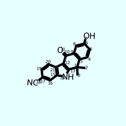 CC1(C)c2ccc(O)cc2C(=O)c2c1[nH]c1cc(C#N)ccc21